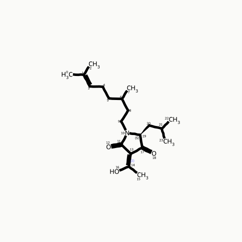 CC(C)=CCCC(C)CCN1C(=O)/C(=C(/C)O)C(=O)[C@@H]1CC(C)C